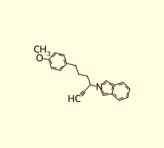 C#CC(CCCc1ccc(OC)cc1)n1cc2ccccc2c1